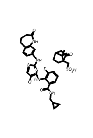 CC1(C)C2CCC1(CS(=O)(=O)O)C(=O)C2.O=C1CCCc2ccc(Nc3ncc(Cl)c(Nc4c(F)cccc4C(=O)NCC4CC4)n3)cc2N1